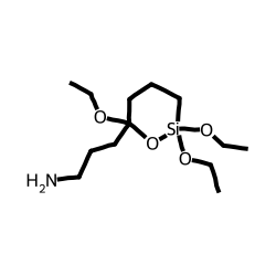 CCOC1(CCCN)CCC[Si](OCC)(OCC)O1